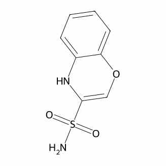 NS(=O)(=O)C1=COc2ccccc2N1